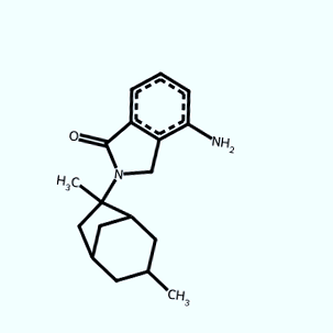 CC1CC2CC(C1)C(C)(N1Cc3c(N)cccc3C1=O)C2